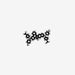 CC(C)c1ccc(N(c2ccc(F)cc2)c2ccc3cc4c(cc3c2)C(C)(C)c2c-4c3ccccc3c3cc(N(c4ccc(F)cc4)c4ccc(C(C)C)cc4)ccc23)cc1